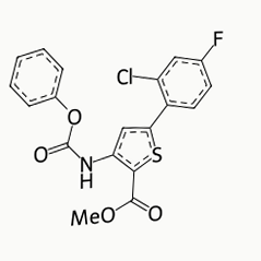 COC(=O)c1sc(-c2ccc(F)cc2Cl)cc1NC(=O)Oc1ccccc1